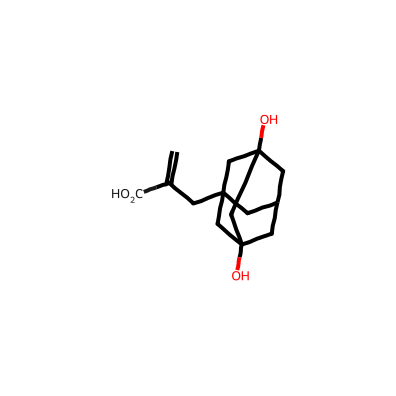 C=C(CC12CC3CC(O)(CC(O)(C3)C1)C2)C(=O)O